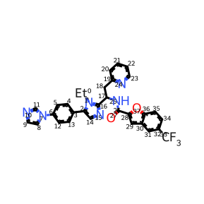 CCn1c(-c2ccc(-n3ccnc3)cc2)cnc1C(Cc1ccccn1)NC(=O)c1cc2cc(C(F)(F)F)ccc2o1